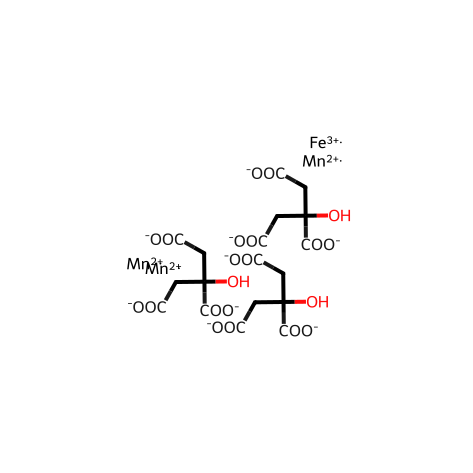 O=C([O-])CC(O)(CC(=O)[O-])C(=O)[O-].O=C([O-])CC(O)(CC(=O)[O-])C(=O)[O-].O=C([O-])CC(O)(CC(=O)[O-])C(=O)[O-].[Fe+3].[Mn+2].[Mn+2].[Mn+2]